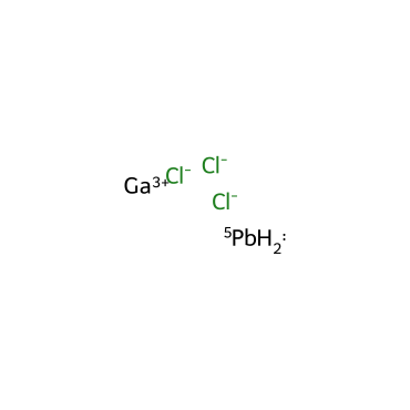 [5PbH2].[Cl-].[Cl-].[Cl-].[Ga+3]